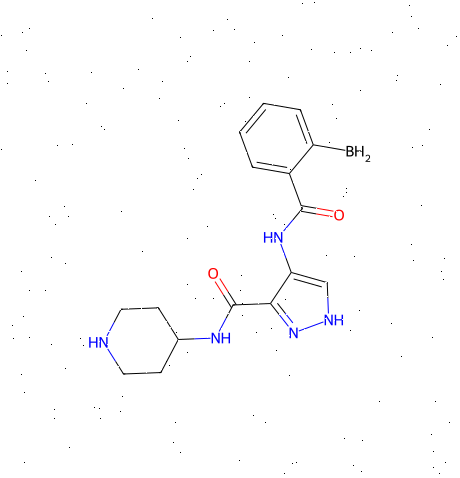 Bc1ccccc1C(=O)Nc1c[nH]nc1C(=O)NC1CCNCC1